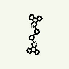 c1cc(-c2cccc(-c3cc4c5ccccc5c5ccccc5c4cn3)c2)cc(-c2cc3c4ccccc4c4ccccc4c3cn2)c1